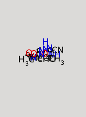 COC[C@H](C)Nc1cc(NC(=O)N2CCCc3cc(CN(C)C(=O)[C@H]4CCCO4)c(C=O)nc32)ncc1C#N